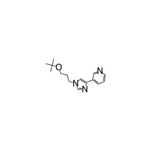 CC(C)(C)OCCCn1cnc(-c2cccnc2)c1